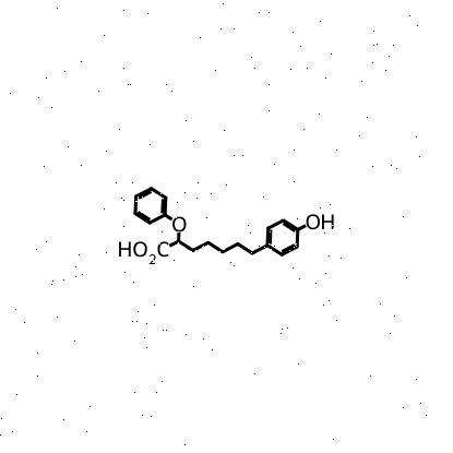 O=C(O)C(CCCCCc1ccc(O)cc1)Oc1ccccc1